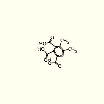 Cc1cc(C(=O)O)c(C(=O)O)c(C(=O)O)c1C